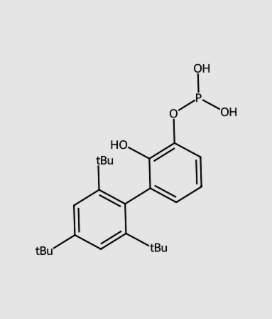 CC(C)(C)c1cc(C(C)(C)C)c(-c2cccc(OP(O)O)c2O)c(C(C)(C)C)c1